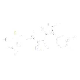 C[SH](=O)(CCNc1nonc1-c1noc(=O)n1-c1ccc(F)c(Br)c1)NC(=O)C(F)(F)F